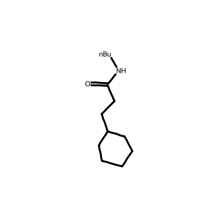 CCCCNC(=O)CCC1CCCCC1